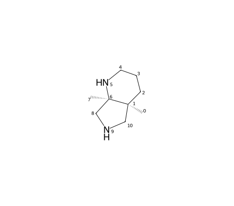 C[C@@]12CCCN[C@]1(C)CNC2